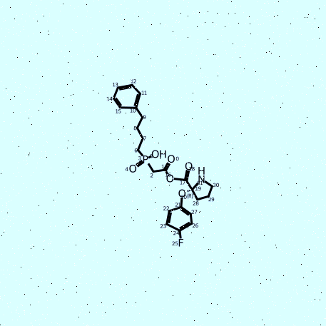 O=C(CP(=O)(O)CCCCc1ccccc1)OC(=O)[C@]1(Oc2ccc(F)cc2)CCCN1